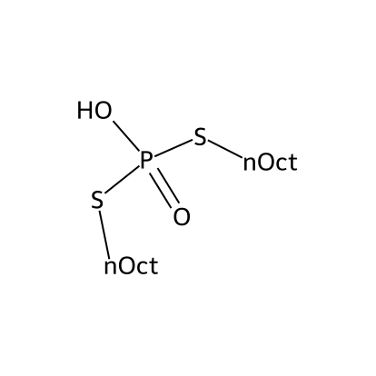 CCCCCCCCSP(=O)(O)SCCCCCCCC